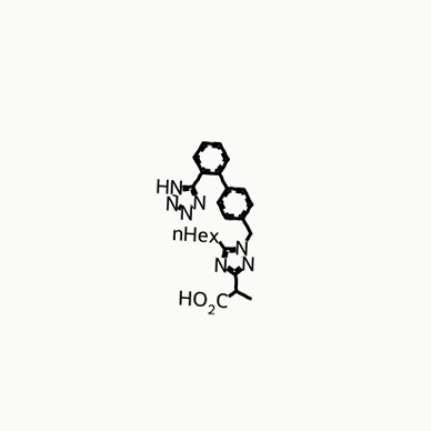 CCCCCCc1nc(C(C)C(=O)O)nn1Cc1ccc(-c2ccccc2-c2nnn[nH]2)cc1